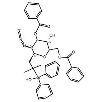 CC(C)(C[C@@H]1OC(COC(=O)c2ccccc2)[C@@H](O)C(OC(=O)c2ccccc2)[C@@H]1N=[N+]=[N-])[Si](O)(c1ccccc1)c1ccccc1